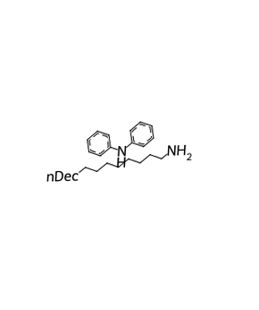 CCCCCCCCCCCCCCCCCCN.c1ccc(Nc2ccccc2)cc1